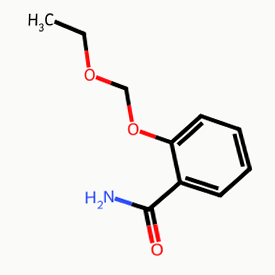 CCOCOc1ccccc1C(N)=O